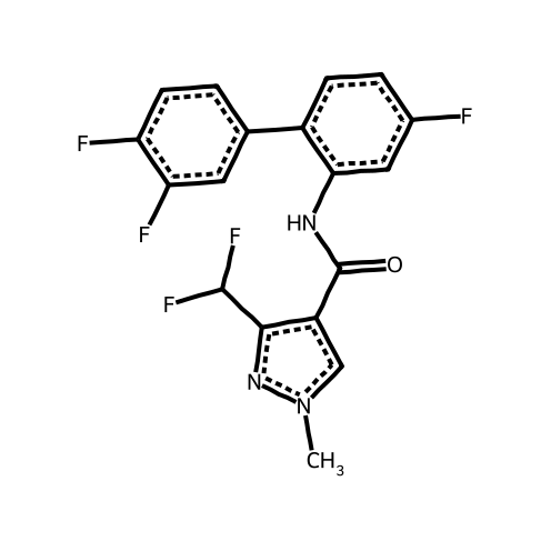 Cn1cc(C(=O)Nc2cc(F)ccc2-c2ccc(F)c(F)c2)c(C(F)F)n1